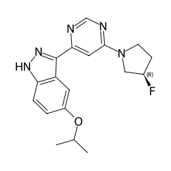 CC(C)Oc1ccc2[nH]nc(-c3cc(N4CC[C@@H](F)C4)ncn3)c2c1